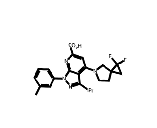 Cc1cccc(-n2nc(C(C)C)c3c(N4CCC5(C4)CC5(F)F)cc(C(=O)O)nc32)c1